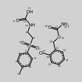 Cc1ccc(S(=O)(=O)CCNC(=O)O)cc1.NC(=O)OCc1ccccc1Cl